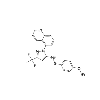 CC(C)Oc1ccc(SNc2cc(C(C)(F)F)nn2-c2cccc3ncccc23)cc1